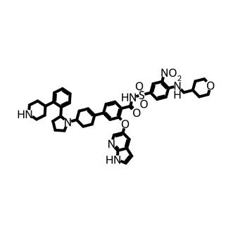 O=C(NS(=O)(=O)c1ccc(NCC2CCOCC2)c([N+](=O)[O-])c1)c1ccc(C2=CCC(N3CCCC3c3ccccc3C3CCNCC3)CC2)cc1Oc1cnc2[nH]ccc2c1